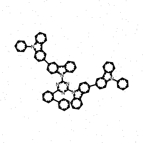 c1ccc(-c2ccccc2-c2nc(-n3c4ccccc4c4cc(-c5ccc6c(c5)c5ccccc5n6-c5ccccc5)ccc43)nc(-n3c4ccccc4c4cc(-c5ccc6c(c5)c5ccccc5n6-c5ccccc5)ccc43)n2)cc1